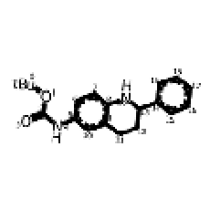 CC(C)(C)OC(=O)Nc1ccc2c(c1)CCC(c1ccccc1)N2